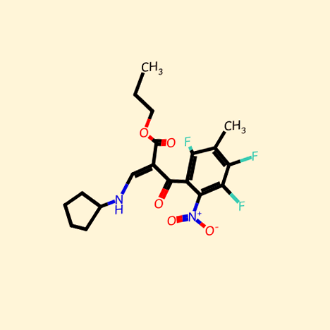 CCCOC(=O)/C(=C/NC1CCCC1)C(=O)c1c(F)c(C)c(F)c(F)c1[N+](=O)[O-]